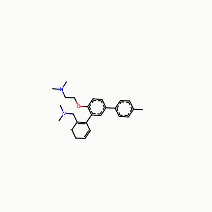 Cc1ccc(-c2ccc(OCCN(C)C)c(C3=C(CN(C)C)[CH]CC=C3)c2)cc1